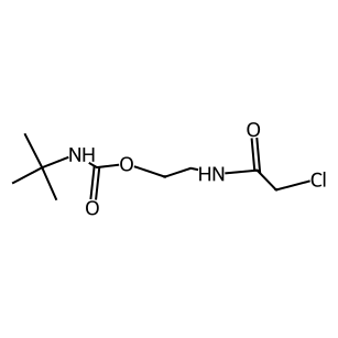 CC(C)(C)NC(=O)OCCNC(=O)CCl